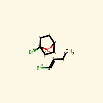 BrC12CCC(CC1)O2.CCC=CBr